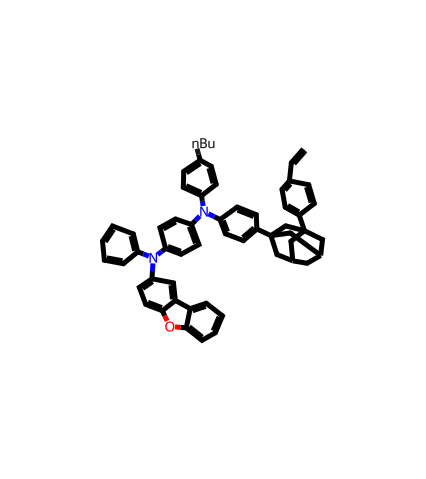 C=Cc1ccc(C23CC4CC(C2)CC(c2ccc(N(c5ccc(CCCC)cc5)c5ccc(N(c6ccccc6)c6ccc7oc8ccccc8c7c6)cc5)cc2)(C4)C3)cc1